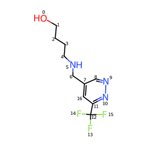 OCCCCNCc1cnnc(C(F)(F)F)c1